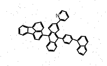 c1ccc(-c2ccc3c(-c4ccc5c6c(cccc46)-c4ccccc4-5)c4ccccc4c(-c4ccc(-c5cccc6ccccc56)cc4)c3c2)nc1